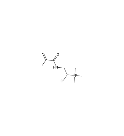 C=C(C)C(=O)NCC(Cl)[N+](C)(C)C